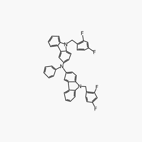 Fc1ccc(Cn2c3ccccc3c3cc(N(c4ccccc4)c4ccc5c(c4)c4ccccc4n5Cc4ccc(F)cc4F)ccc32)c(F)c1